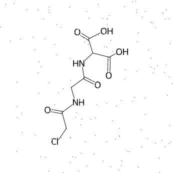 O=C(CCl)NCC(=O)NC(C(=O)O)C(=O)O